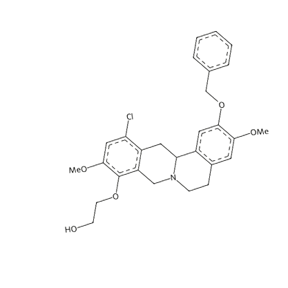 COc1cc2c(cc1OCc1ccccc1)C1Cc3c(Cl)cc(OC)c(OCCO)c3CN1CC2